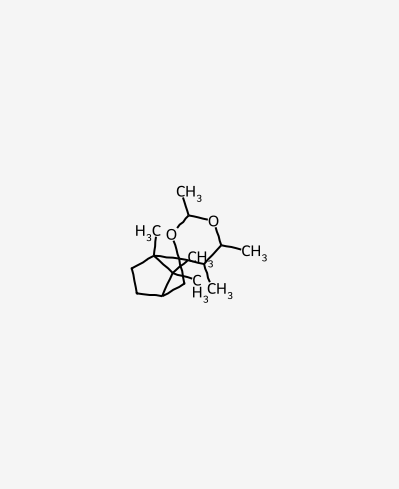 CC1OC(C)C(C)C2(CC3CCC2(C)C3(C)C)O1